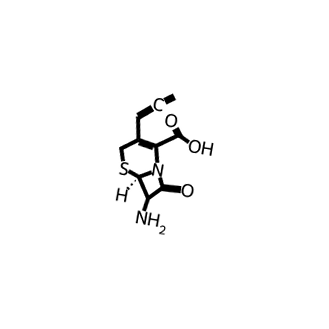 C=C=CC1=C(C(=O)O)N2C(=O)C(N)[C@H]2SC1